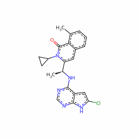 Cc1cccc2cc([C@H](C)Nc3ncnc4[nH]c(Cl)cc34)n(C3CC3)c(=O)c12